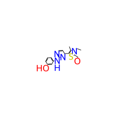 CCN1C(C)=C(c2ccnc(Nc3cccc(O)c3)n2)SC1C=O